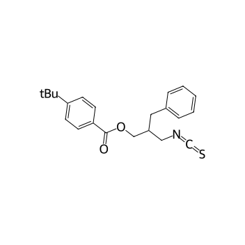 CC(C)(C)c1ccc(C(=O)OCC(CN=C=S)Cc2ccccc2)cc1